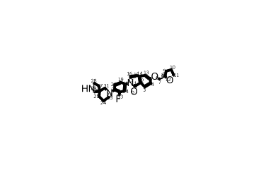 O=c1c2ccc(OC[C@H]3CCCO3)cc2ccn1-c1ccc(N2CCCC3(CCNC3)C2)c(F)c1